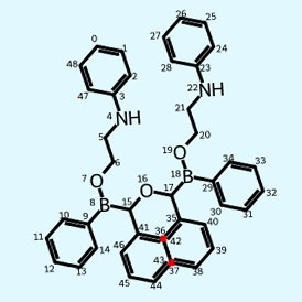 c1ccc(NCCOB(c2ccccc2)C(OC(B(OCCNc2ccccc2)c2ccccc2)c2ccccc2)c2ccccc2)cc1